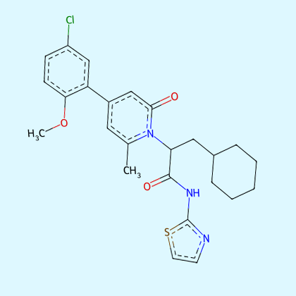 COc1ccc(Cl)cc1-c1cc(C)n(C(CC2CCCCC2)C(=O)Nc2nccs2)c(=O)c1